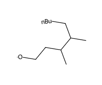 CCCCCC(C)C(C)CC[O]